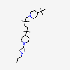 CCCN1CC(N2CCC(C(C)(C)CCC(C)(C)CN3CCC(C(C)(C)C)CC3)CC2)C1